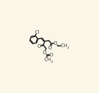 CCOC(=O)CC(=Cc1ccccc1Cl)C(=O)COC(C)=O